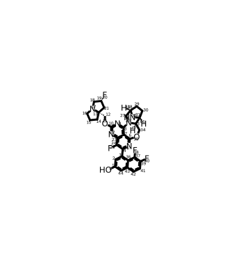 Oc1cc(-c2nc3c4c(nc(OC[C@]56CCCN5C[C@H](F)C6)nc4c2F)N2C[C@@H]4CC[C@@H](N4)[C@H]2CO3)c2c(F)c(F)ccc2c1